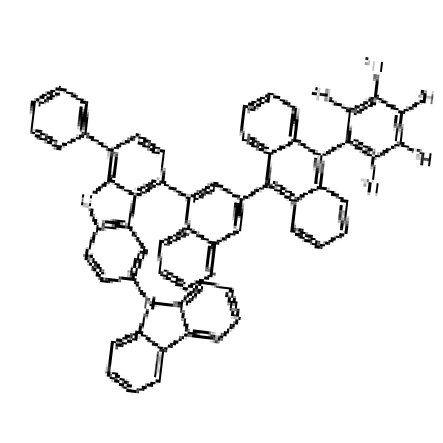 [2H]c1c([2H])c([2H])c(-c2c3ccccc3c(-c3cc(-c4ccc(-c5ccccc5)c5oc6ccc(-n7c8ccccc8c8ccccc87)cc6c45)c4ccccc4c3)c3ccccc23)c([2H])c1[2H]